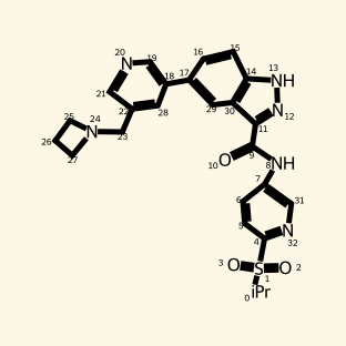 CC(C)S(=O)(=O)c1ccc(NC(=O)c2n[nH]c3ccc(-c4cncc(CN5CCC5)c4)cc23)cn1